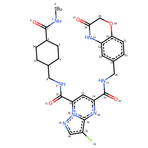 CC(C)(C)NC(=O)C1CCC(CNC(=O)c2cc(C(=O)NCc3ccc4c(c3)NC(=O)CO4)nc3c(F)cnn23)CC1